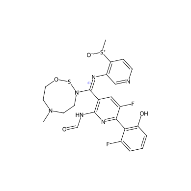 CN1CCOSN(/C(=N/c2cnccc2[S+](C)[O-])c2cc(F)c(-c3c(O)cccc3F)nc2NC=O)CC1